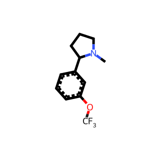 CN1CCCC1c1cccc(OC(F)(F)F)c1